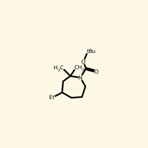 CCC1CCCN(C(=O)OC(C)(C)C)C(C)(C)C1